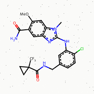 COc1cc2c(cc1C(N)=O)nc(Nc1cc(CNC(=O)C3(C(F)(F)F)CC3)ccc1Cl)n2C